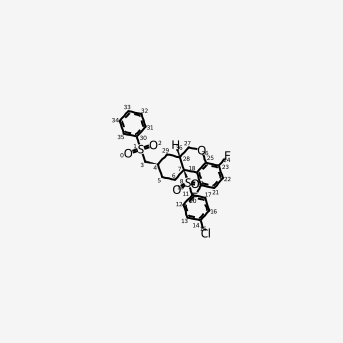 O=S(=O)(C[C@@H]1CC[C@@]2(S(=O)(=O)c3ccc(Cl)cc3)c3c(F)ccc(F)c3OC[C@H]2C1)c1ccccc1